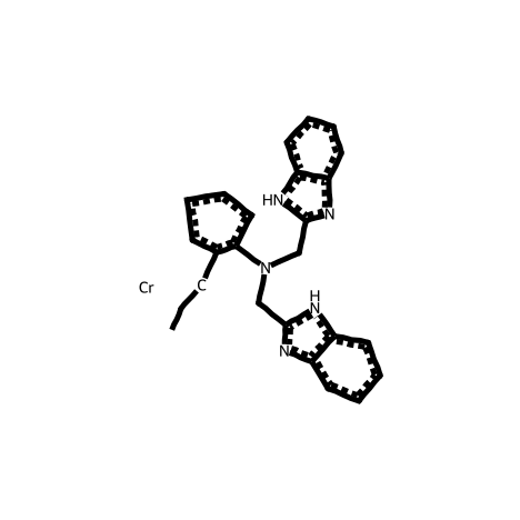 CCCc1ccccc1N(Cc1nc2ccccc2[nH]1)Cc1nc2ccccc2[nH]1.[Cr]